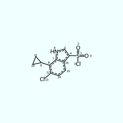 O=S(=O)(Cl)c1c[nH]c2c(C3CC3)c(Cl)ccc12